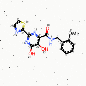 COc1ccccc1CNC(=O)c1nc(-c2nccs2)nc(O)c1O